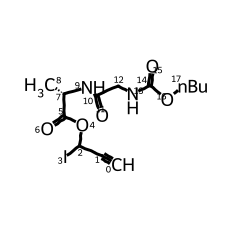 C#CC(I)OC(=O)[C@H](C)NC(=O)CNC(=O)OCCCC